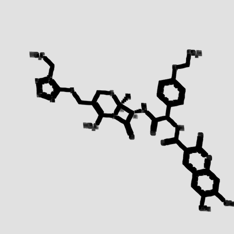 CC(=O)Oc1cc2cc(C(=O)NC(C(=O)N[C@@H]3C(=O)N4C(C(=O)O)=C(CSc5nnnn5CC(=O)O)CS[C@@H]34)c3ccc(OCC(=O)O)cc3)c(=O)oc2cc1OC(C)=O